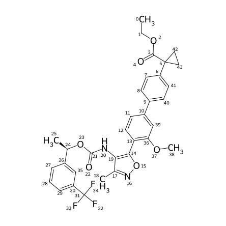 CCOC(=O)C1(c2ccc(-c3ccc(-c4onc(C)c4NC(=O)O[C@H](C)c4cccc(C(F)(F)F)c4)c(OC)c3)cc2)CC1